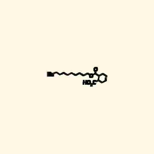 CCC(C)CCCCCCCCCOC(=O)C1CC=CCC1C(=O)O